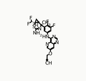 C#CCOc1cnc2c(Nc3cc(F)c(F)c([C@]4(C)N=C(N)S[C@@]5(C(F)F)C[C@@H]45)c3)ncnc2c1